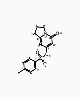 Cc1ccc(S(=O)(=O)Oc2cc(=O)n3c(n2)CCC3)cc1